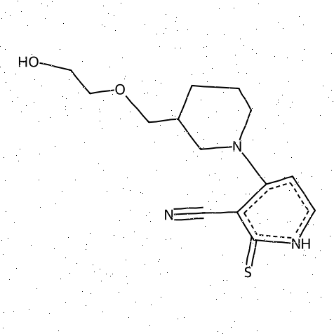 N#Cc1c(N2CCCC(COCCO)C2)cc[nH]c1=S